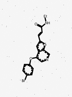 CCNC(=O)C=Cc1cc2c(Oc3ccc(Br)cc3)cncc2s1